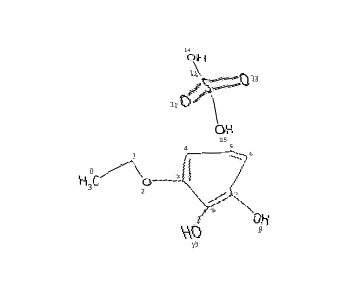 CCOc1cccc(O)c1O.O=S(=O)(O)O